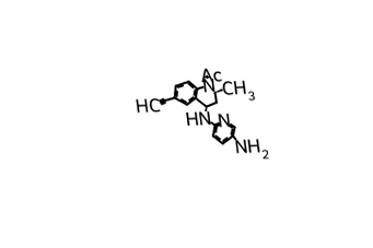 C#Cc1ccc2c(c1)[C@H](Nc1ccc(N)cn1)C[C@H](C)N2C(C)=O